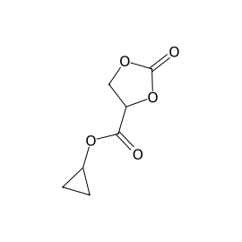 O=C1OCC(C(=O)OC2CC2)O1